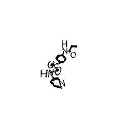 C=CC(=O)Nc1ccc(S(=O)(=O)Nc2cccnc2)cc1